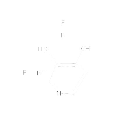 Cc1ccncc1C.[B+3].[F-].[F-].[F-]